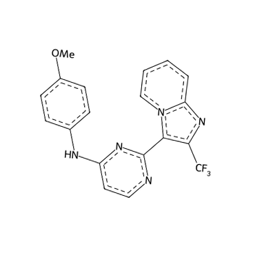 COc1ccc(Nc2ccnc(-c3c(C(F)(F)F)nc4ccccn34)n2)cc1